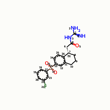 N=C(N)NC(=O)C[C@@H]1CCCc2cc(S(=O)(=O)c3cccc(F)c3)ccc21